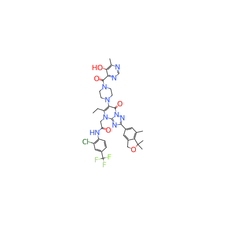 CCc1c(N2CCN(C(=O)c3ncnc(C)c3O)CC2)c(=O)n2nc(-c3cc(C)c4c(c3)COC4(C)C)nc2n1CC(=O)Nc1ccc(C(F)(F)F)cc1Cl